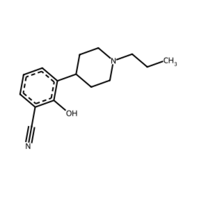 CCCN1CCC(c2cccc(C#N)c2O)CC1